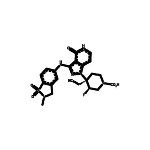 CN1Cc2cc(Nc3nn([C@@]4(CC#N)CCN(C(=O)O)C[C@H]4F)c4cc[nH]c(=O)c34)ccc2S1(=O)=O